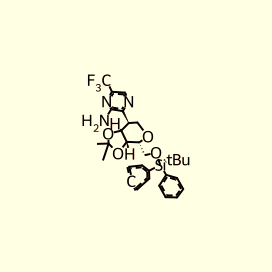 CC1(C)O[C@@H]2[C@H](O1)[C@@H](c1ncc(C(F)(F)F)nc1N)CO[C@@H]2CO[Si](c1ccccc1)(c1ccccc1)C(C)(C)C